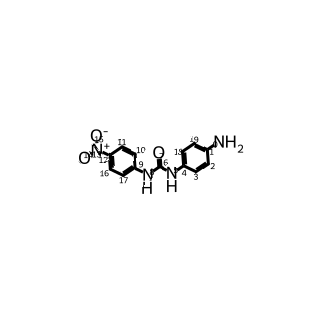 Nc1ccc(NC(=O)Nc2ccc([N+](=O)[O-])cc2)cc1